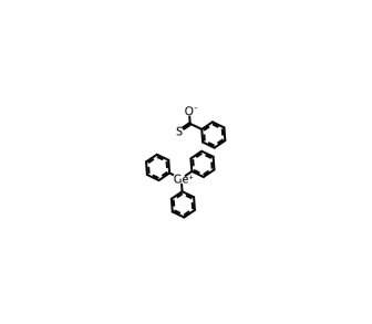 [O-]C(=S)c1ccccc1.c1cc[c]([Ge+]([c]2ccccc2)[c]2ccccc2)cc1